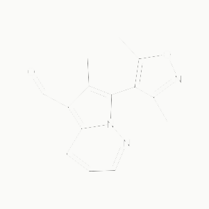 Cc1noc(C)c1-c1c(C)c(C=O)c2cccnn12